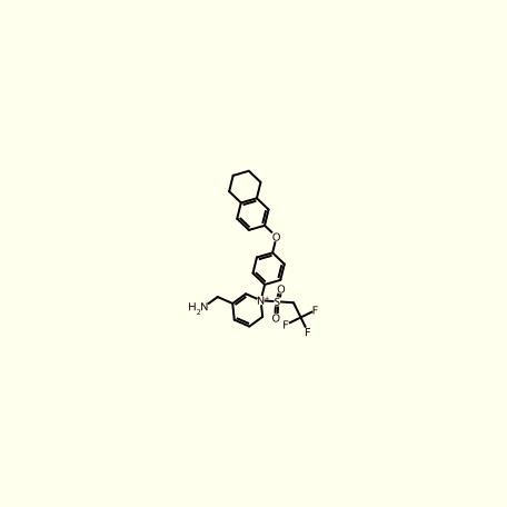 NCC1=C[N+](c2ccc(Oc3ccc4c(c3)CCCC4)cc2)(S(=O)(=O)CC(F)(F)F)CC=C1